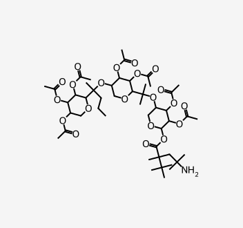 CCCC(C)(OC1COC(C(C)(C)OC2COC(OC(=O)C(C)(CC(C)(C)N)C(C)(C)C)C(OC(C)=O)C2OC(C)=O)C(OC(C)=O)C1OC(C)=O)C1OCC(OC(C)=O)C(OC(C)=O)C1OC(C)=O